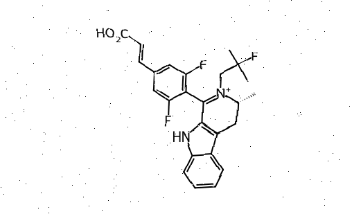 C[C@@H]1Cc2c([nH]c3ccccc23)C(c2c(F)cc(/C=C/C(=O)O)cc2F)=[N+]1CC(C)(C)F